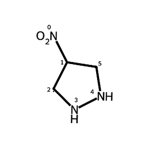 O=[N+]([O-])C1[CH]NNC1